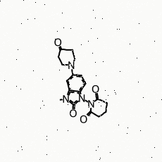 Cn1c(=O)n(N2C(=O)CCCC2=O)c2ccc(N3CCC(=O)CC3)cc21